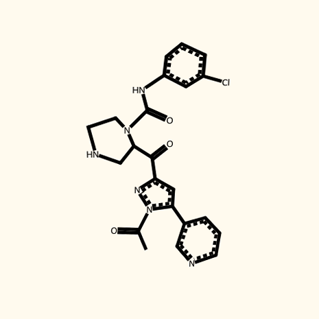 CC(=O)n1nc(C(=O)C2CNCCN2C(=O)Nc2cccc(Cl)c2)cc1-c1cccnc1